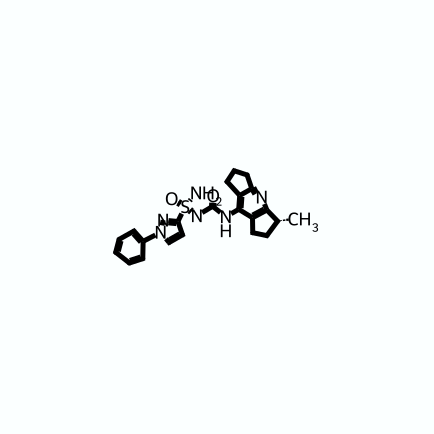 C[C@@H]1CCc2c1nc1c(c2NC(=O)N=S(N)(=O)c2ccn(-c3ccccc3)n2)CCC1